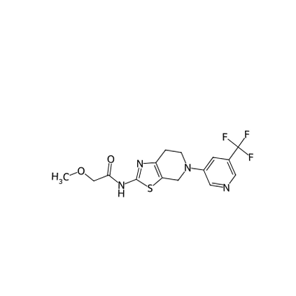 COCC(=O)Nc1nc2c(s1)CN(c1cncc(C(F)(F)F)c1)CC2